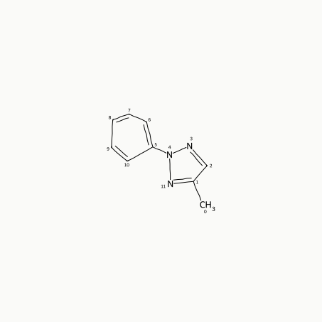 Cc1cnn(-c2ccccc2)n1